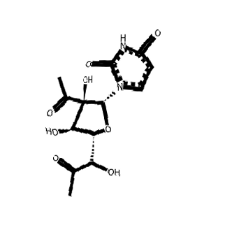 CC(=O)C(O)[C@H]1O[C@@H](n2ccc(=O)[nH]c2=O)[C@@](O)(C(C)=O)[C@@H]1O